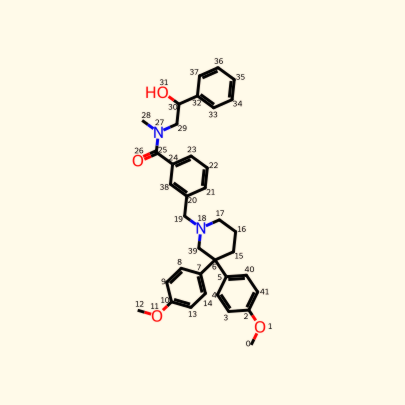 COc1ccc(C2(c3ccc(OC)cc3)CCCN(Cc3cccc(C(=O)N(C)CC(O)c4ccccc4)c3)C2)cc1